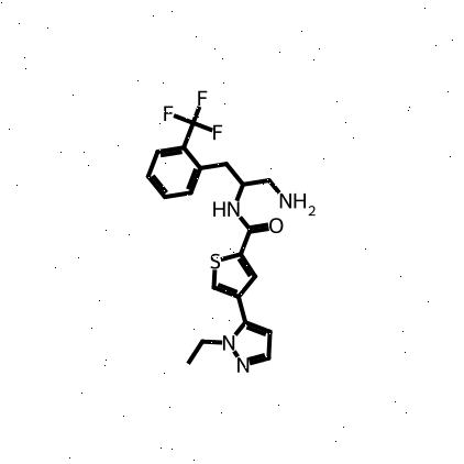 CCn1nccc1-c1csc(C(=O)NC(CN)Cc2ccccc2C(F)(F)F)c1